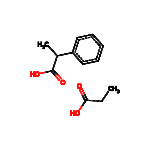 CC(C(=O)O)c1ccccc1.CCC(=O)O